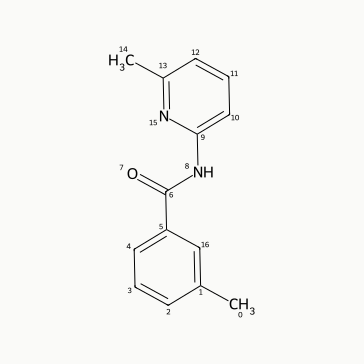 Cc1cccc(C(=O)Nc2cccc(C)n2)c1